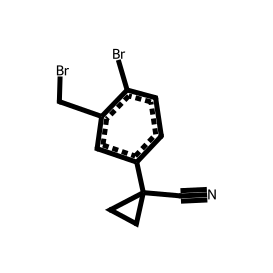 N#CC1(c2ccc(Br)c(CBr)c2)CC1